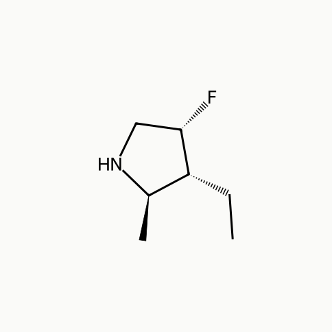 CC[C@H]1[C@@H](F)CN[C@@H]1C